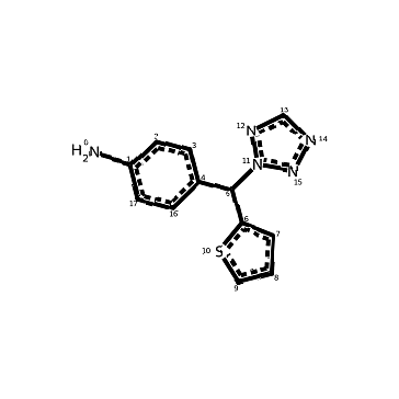 Nc1ccc(C(c2cccs2)n2ncnn2)cc1